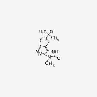 Cn1c(=O)[nH]c2c3cc(C(C)(C)Cl)ccc3nnc21